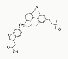 Cc1cc(OCC2(C)COC2)cc(C)c1-c1c(C#N)ccc2c1CC[C@H]2Oc1ccc2c(c1)OCC2CC(=O)O